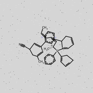 C/C=C\C=C/[C@@H](C)[Si](C1=CC=CCC1)(C1=CC=CCC1c1cccc(C2=CC(C#N)CC(C)=C2)c1)c1ccccc1